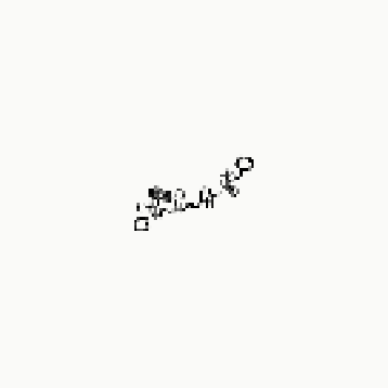 CC(C)(C)OC(=O)N(C/C=C/c1csc(CNC(=O)OCc2ccccc2)n1)CCCN(C(=O)OC(C)(C)C)C1CCCCC1